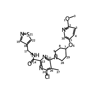 COc1ccc(OC2CCN(c3nc(C(=O)NCc4cnsc4)nc(Cl)c3C)CC2)cn1